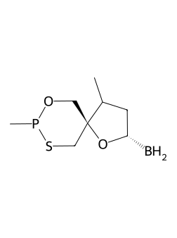 B[C@H]1CC(C)[C@]2(COP(C)SC2)O1